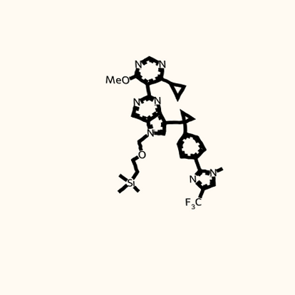 COc1ncnc(C2CC2)c1-c1ncc2c(n1)c(C1(c3ccc(-c4nc(C(F)(F)F)cn4C)cc3)CC1)cn2COCC[Si](C)(C)C